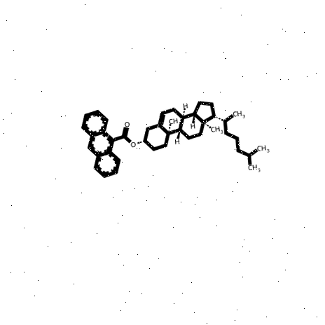 CC(C)CCCC(C)[C@H]1CC[C@H]2[C@@H]3CC=C4C[C@@H](OC(=O)c5c6ccccc6cc6ccccc56)CC[C@]4(C)[C@H]3CC[C@]12C